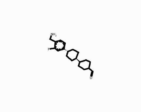 NCc1ccc([C@H]2CC[C@H](C3CCC(C=O)CC3)CC2)cc1F